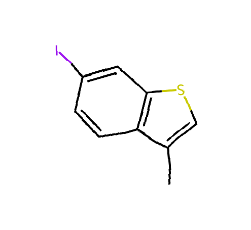 Cc1csc2cc(I)ccc12